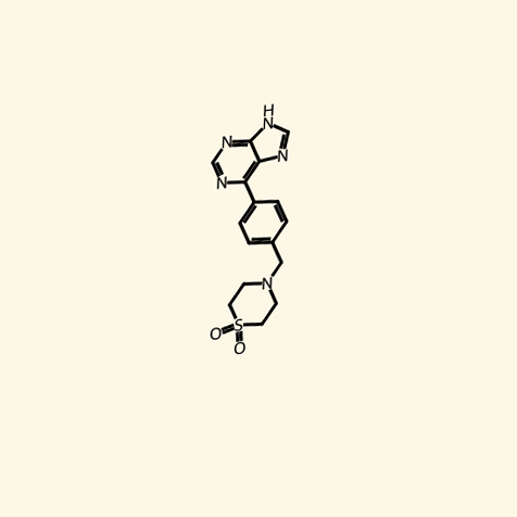 O=S1(=O)CCN(Cc2ccc(-c3ncnc4[nH]cnc34)cc2)CC1